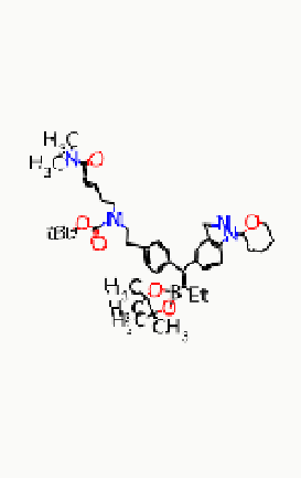 CC/C(B1OC(C)(C)C(C)(C)O1)=C(/c1ccc(CCN(CC/C=C/C(=O)N(C)C)C(=O)OC(C)(C)C)cc1)c1ccc2c(cnn2C2CCCCO2)c1